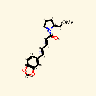 COCC1CCCN1C(=O)/C=C/C=C/c1ccc2c(c1)OCO2